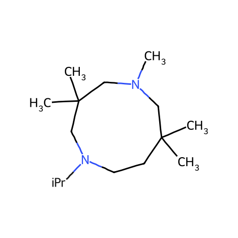 CC(C)N1CCC(C)(C)CN(C)CC(C)(C)C1